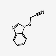 N#CCSn1cnc2ccccc21